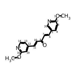 COc1ccc(/C=C/C(=O)/C=C/c2ccnc(OC)c2)cn1